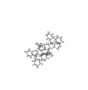 Cc1cc(N(c2ccccc2)c2ccccc2-c2ccccc2)cc(C)c1-c1c(C)cc(N(c2ccccc2)c2ccccc2-c2ccccc2)cc1C